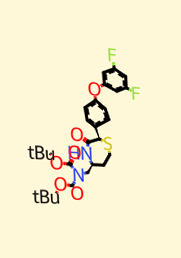 CC(C)(C)OC(=O)N(C[C@@H]1CCS[C@H](c2ccc(Oc3cc(F)cc(F)c3)cc2)C(=O)N1)C(=O)OC(C)(C)C